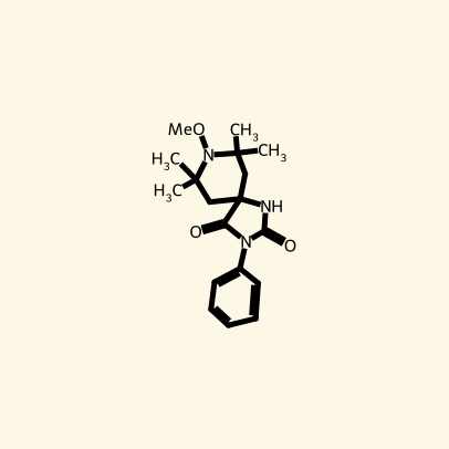 CON1C(C)(C)CC2(CC1(C)C)NC(=O)N(c1ccccc1)C2=O